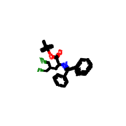 CC(C)(C)OC(=O)C(CC(CF)CF)N=C(c1ccccc1)c1ccccc1